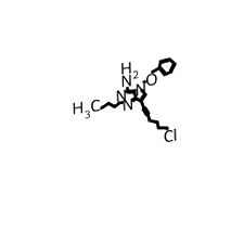 CCCCc1nc(N)c2c(n1)c(C#CCCCCCl)cn2COCc1ccccc1